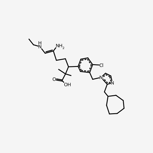 CCN/C=C(\N)CCC(c1ccc(Cl)c(Cn2ccnc2CC2CCCCCC2)c1)C(C)(C)C(=O)O